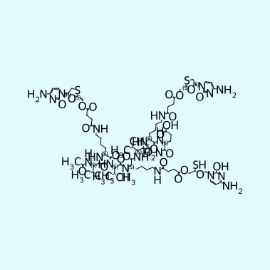 CC(=O)N[C@H](C(=O)N[C@@H](CCCCNC(=O)CCC(=O)OC[C@H]1O[C@@H](n2ccc(N)nc2=O)CS1)C(=O)N[C@H](C(=O)N[C@@H](CCCCNC(=O)CCC(=O)OCC(S)OCN1C=CC(N)=NC1O)C(=O)N[C@H](C(=O)N[C@@H](CCCCNC(=O)CCC(=O)OC[C@H]1O[C@@H](n2ccc(N)nc2=O)CS1)C(=O)N[C@@H](CCC(=O)O)C(N)=O)C(C)C)C(C)C)C(C)C